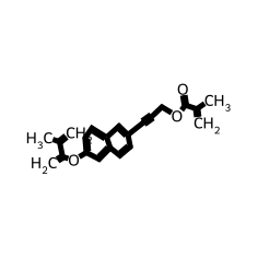 C=C(C)C(=C)Oc1ccc2cc(C#CCOC(=O)C(=C)C)ccc2c1